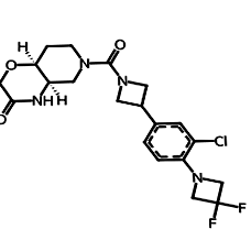 O=C1CO[C@H]2CCN(C(=O)N3CC(c4ccc(N5CC(F)(F)C5)c(Cl)c4)C3)C[C@H]2N1